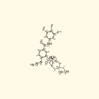 C[C@H]1CC2C[C@](O)(CO)CC1C2S(=O)(=O)c1cc(C(=O)Nc2cc(F)c(F)c(F)c2)ccc1N=[N+]=[N-]